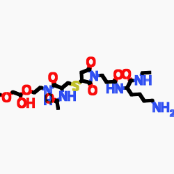 CCNC(=O)C(CCCCN)NC(=O)CCN1C(=O)CC(SCC(NC(C)=O)C(=O)NCCOC(O)COC)C1=O